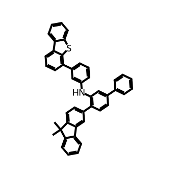 CC1(C)c2ccccc2-c2cc(-c3ccc(-c4ccccc4)cc3Nc3cccc(-c4cccc5c4sc4ccccc45)c3)ccc21